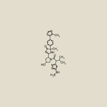 BBn1cc(C(C(=O)N2CC(O)CC2C2=NC(=O)C(C)(c3ccc(-c4scnc4C)cc3)N2)C(C)C)nn1